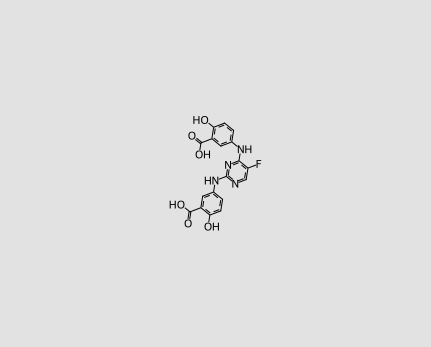 O=C(O)c1cc(Nc2ncc(F)c(Nc3ccc(O)c(C(=O)O)c3)n2)ccc1O